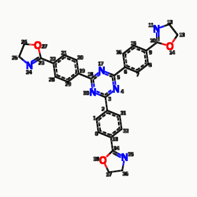 c1cc(-c2nc(-c3ccc(C4=NCCO4)cc3)nc(-c3ccc(C4=NCCO4)cc3)n2)ccc1C1=NCCO1